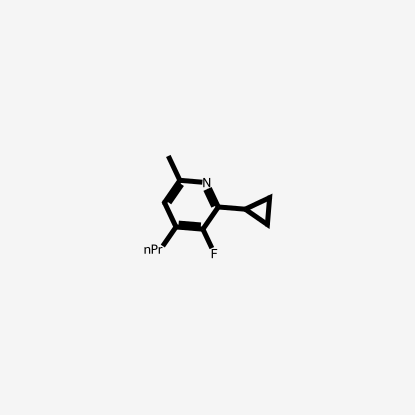 CCCc1cc(C)nc(C2CC2)c1F